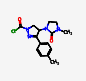 Cc1ccc(C2=NN(C(=O)Cl)CC2N2CCN(C)C2=O)cc1